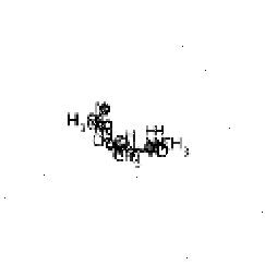 COc1nc2c(OCc3c(Cl)ccc(N(C)C(=O)CNC(=O)CCC4CN=C(NC(C)=O)NC4)c3Cl)cccc2n1Cc1ccccn1